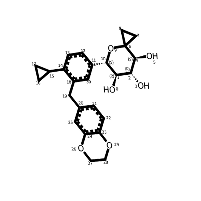 O[C@@H]1[C@@H](O)[C@H](O)C2(CC2)O[C@H]1c1ccc(C2CC2)c(Cc2ccc3c(c2)OCCO3)c1